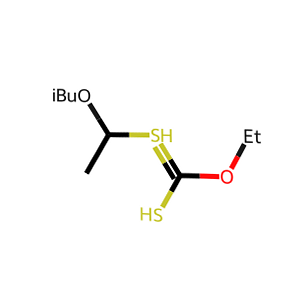 CCOC(S)=[SH]C(C)OCC(C)C